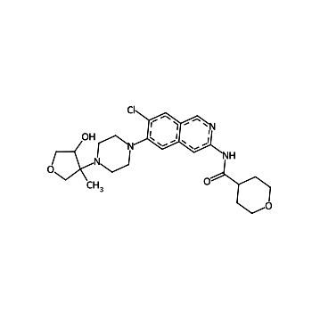 CC1(N2CCN(c3cc4cc(NC(=O)C5CCOCC5)ncc4cc3Cl)CC2)COCC1O